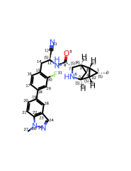 C[C@H]1[C@H]2[C@H]3C[C@H](N[C@@H]3C(=O)N[C@H](C#N)Cc3ccc(-c4ccc5c(cnn5C)c4)cc3F)[C@@H]12